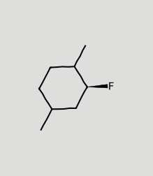 CC1CCC(C)[C@@H](F)C1